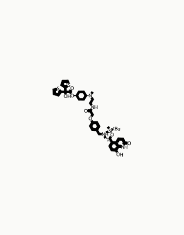 CN(CCNC(=O)COc1ccc(CNC[C@H](O[Si](C)(C)C(C)(C)C)c2ccc(O)c3[nH]c(=O)ccc23)cc1)[C@H]1CC[C@H](OC(=O)C(O)(c2cccs2)c2cccs2)CC1